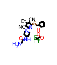 CCc1c(C#N)c(SCc2ccccc2)nc(N2CCC(NC(=O)CN)CC2)c1C#N.O=C(O)C(F)(F)F